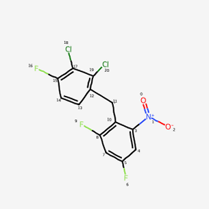 O=[N+]([O-])c1cc(F)cc(F)c1[CH]c1ccc(F)c(Cl)c1Cl